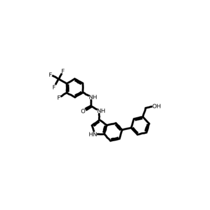 O=C(Nc1ccc(C(F)(F)F)c(F)c1)Nc1c[nH]c2ccc(-c3cccc(CO)c3)cc12